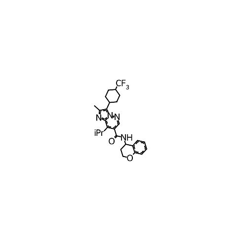 Cc1nc2c(C(C)C)c(C(=O)NC3CCOc4ccccc43)cnn2c1C1CCC(C(F)(F)F)CC1